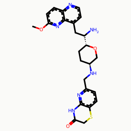 COc1ccc2nccc(CC(N)[C@H]3CC[C@H](NCc4ccc5c(n4)NC(=O)CS5)CO3)c2n1